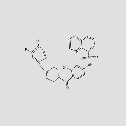 O=C(c1ccc(NS(=O)(=O)c2cccc3cccnc23)cc1Cl)N1CCN(Cc2ccc(Cl)c(F)c2)CC1